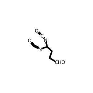 O=C=NC(CCC=O)N=C=O